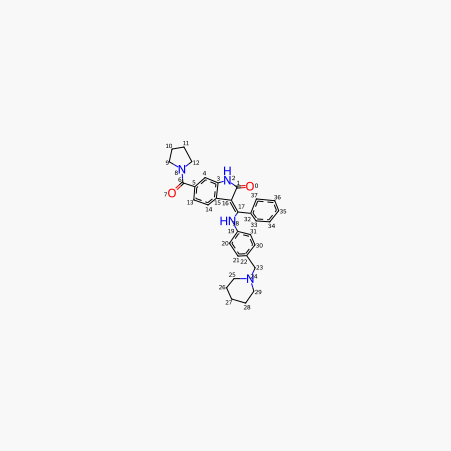 O=C1Nc2cc(C(=O)N3CCCC3)ccc2C1=C(Nc1ccc(CN2CCCCC2)cc1)c1ccccc1